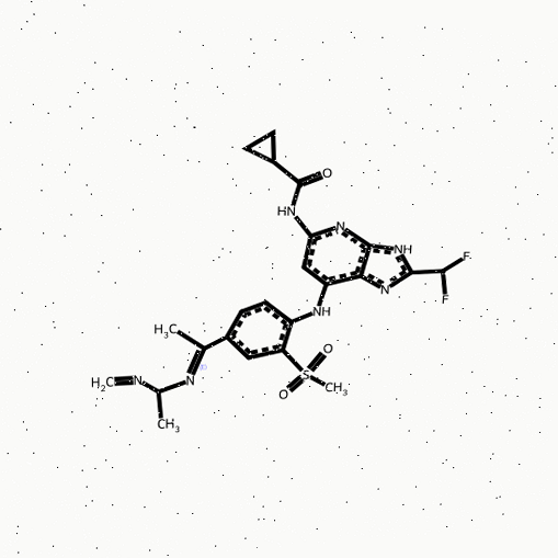 C=NC(C)/N=C(\C)c1ccc(Nc2cc(NC(=O)C3CC3)nc3[nH]c(C(F)F)nc23)c(S(C)(=O)=O)c1